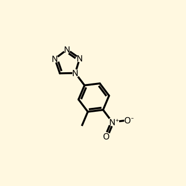 Cc1cc(-n2cnnn2)ccc1[N+](=O)[O-]